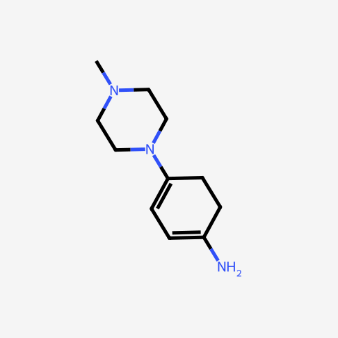 CN1CCN(C2=CC=C(N)CC2)CC1